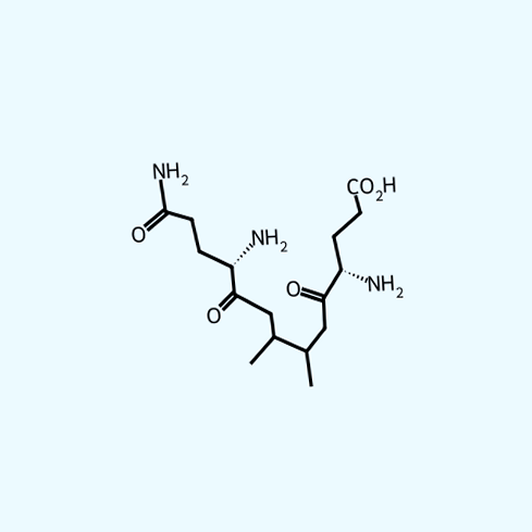 CC(CC(=O)[C@@H](N)CCC(N)=O)C(C)CC(=O)[C@@H](N)CCC(=O)O